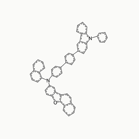 c1ccc(-n2c3ccccc3c3cc(-c4ccc(-c5ccc(N(c6ccc7oc8c9ccccc9ccc8c7c6)c6cccc7ccccc67)cc5)cc4)ccc32)cc1